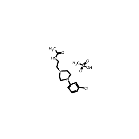 CC(=O)NCCN1CCN(c2cccc(Cl)c2)CC1.CS(=O)(=O)O